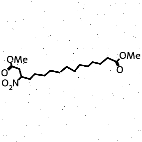 COC(=O)CCCCCCCCCCCCC(CC(=O)OC)[N+](=O)[O-]